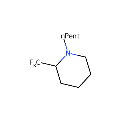 CCCCCN1CCCCC1C(F)(F)F